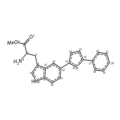 COC(=O)C(N)Cc1c[nH]c2ccc(-c3ccc(-c4ccccc4)s3)cc12